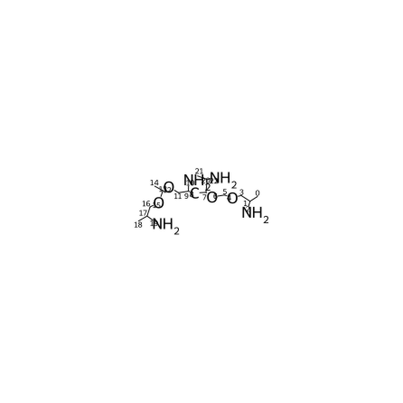 CC(N)COCOC(CC(N)COC(C)OCC(C)N)C(C)N